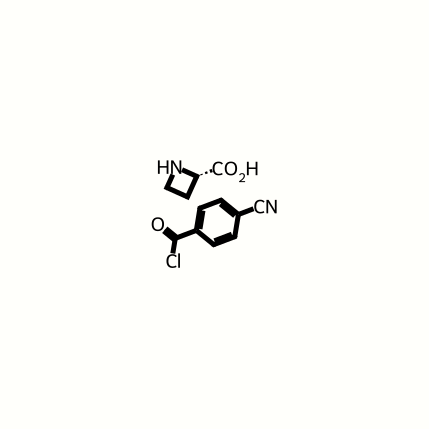 N#Cc1ccc(C(=O)Cl)cc1.O=C(O)[C@@H]1CCN1